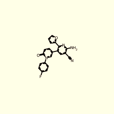 N#Cc1cc(-c2ccc(=O)n(-c3ccc(F)cc3)c2)c(-c2ccco2)nc1N